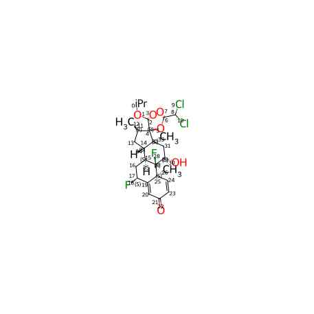 CC(C)OC(=O)[C@@]1(OC(=O)C(Cl)Cl)[C@H](C)C[C@H]2[C@@H]3C[C@H](F)C4=CC(=O)C=C[C@]4(C)[C@@]3(F)[C@@H](O)C[C@@]21C